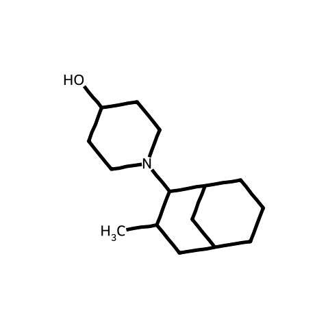 CC1CC2CCCC(C2)C1N1CCC(O)CC1